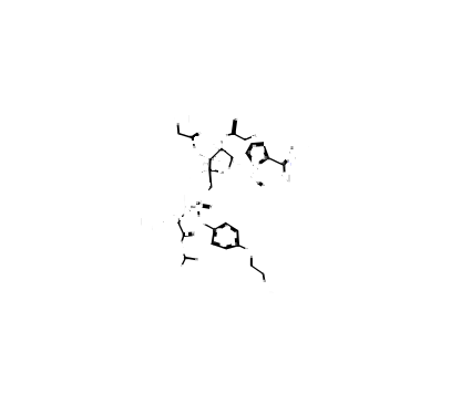 C=Nn1c(/C(N)=N\C)ccc1[C@@H]1O[C@](C)(COP(=O)(N[C@@H](C)C(=O)OC(C)C)Oc2ccc(OCCOC)cc2)[C@@H](OC(=O)CC)[C@H]1OC(=O)CC